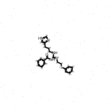 O=C(NC(=NCCSc1ccccc1)NCCCc1c[nH]cn1)c1ccccc1